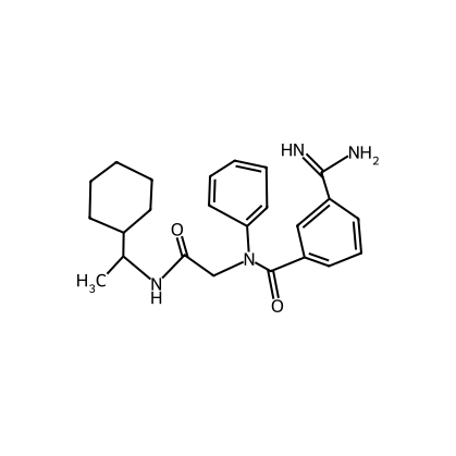 CC(NC(=O)CN(C(=O)c1cccc(C(=N)N)c1)c1ccccc1)C1CCCCC1